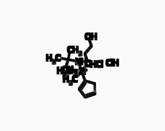 CC(C)(C)[NH][Zr]([CH3])(=[SiH2])([O]CCO)[C]1=CC=CC1.Cl.Cl